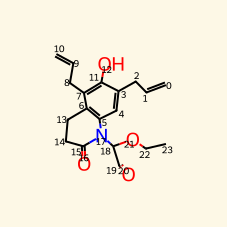 C=CCc1cc2c(c(CC=C)c1O)CCC(=O)N2C(C=O)OCC